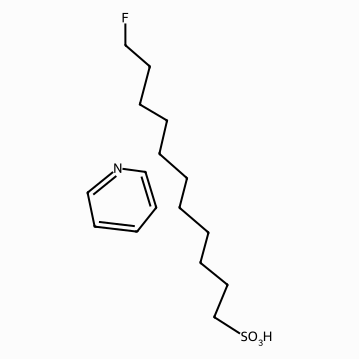 O=S(=O)(O)CCCCCCCCCCCF.c1ccncc1